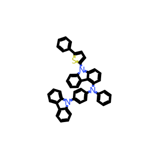 c1ccc(-c2ccc(-n3c4ccccc4c4c(N(c5ccccc5)c5ccc(-n6c7ccccc7c7ccccc76)cc5)cccc43)s2)cc1